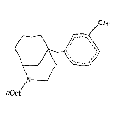 [CH]c1cccc(C23CCCC(C2)N(CCCCCCCC)CC3)c1